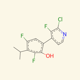 CC(C)c1c(F)cc(-c2ccnc(Cl)c2F)c(O)c1F